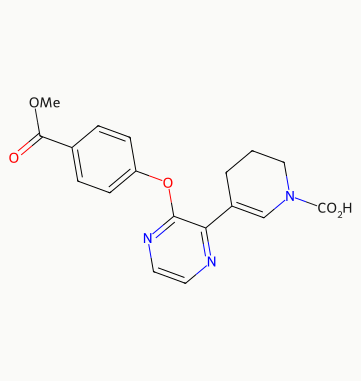 COC(=O)c1ccc(Oc2nccnc2C2=CN(C(=O)O)CCC2)cc1